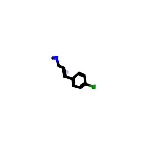 [NH]C/C=C/c1ccc(Cl)cc1